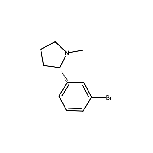 CN1CCC[C@H]1c1cccc(Br)c1